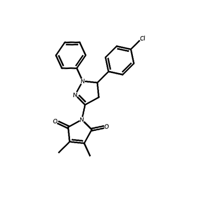 CC1=C(C)C(=O)N(C2=NN(c3ccccc3)C(c3ccc(Cl)cc3)C2)C1=O